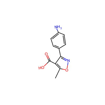 Cc1onc(-c2ccc(N)cc2)c1C(=O)O